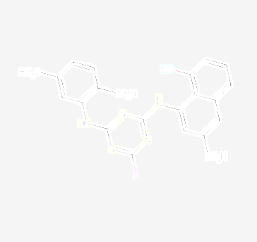 O=S(=O)(O)c1ccc(S(=O)(=O)O)c(Nc2nc(F)nc(Nc3cc(S(=O)(=O)O)cc4cccc(O)c34)n2)c1